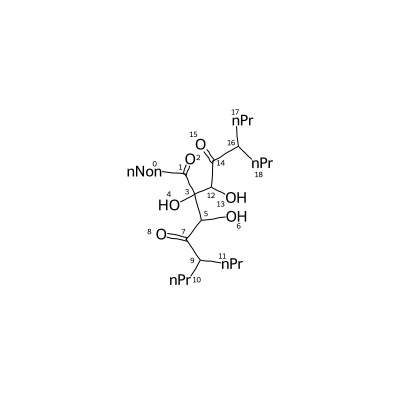 CCCCCCCCCC(=O)C(O)(C(O)C(=O)C(CCC)CCC)C(O)C(=O)C(CCC)CCC